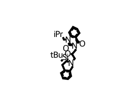 CC(C)Cn1c(=O)n(CC(CN2CCc3ccccc3C2)O[Si](C)(C)C(C)(C)C)c(=O)c2ccccc21